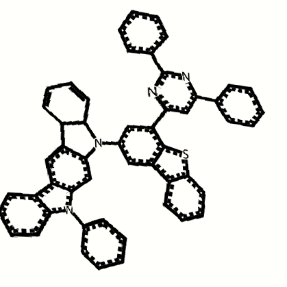 C1=CC2c3cc4c5ccccc5n(-c5ccccc5)c4cc3N(c3cc(-c4cc(-c5ccccc5)nc(-c5ccccc5)n4)c4sc5ccccc5c4c3)C2C=C1